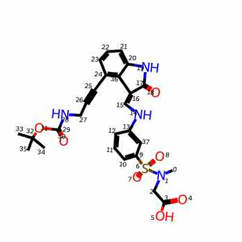 CN(CC(=O)O)S(=O)(=O)c1cccc(N/C=C2\C(=O)Nc3cccc(C#CCNC(=O)OC(C)(C)C)c32)c1